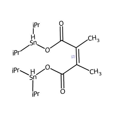 C/C(C(=O)[O][SnH]([CH](C)C)[CH](C)C)=C(\C)C(=O)[O][SnH]([CH](C)C)[CH](C)C